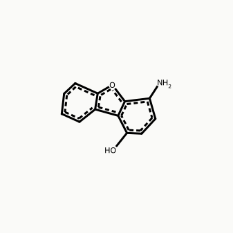 Nc1ccc(O)c2c1oc1ccccc12